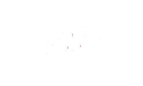 CCCCCCCCCCCC(=O)OC(=O)[C@H](O)[C@@H](O)[C@H](O)[C@H](O)CO.[KH]